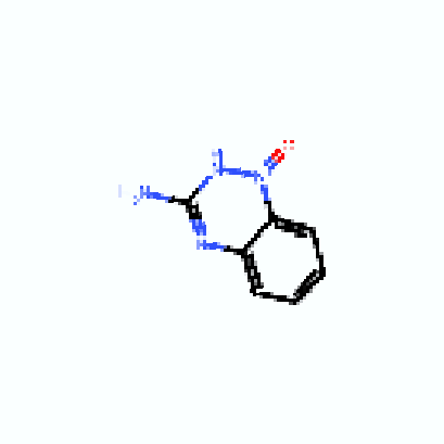 Nc1nc2ccccc2[n+](=O)[nH]1